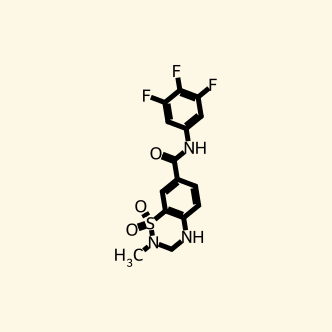 CN1CNc2ccc(C(=O)Nc3cc(F)c(F)c(F)c3)cc2S1(=O)=O